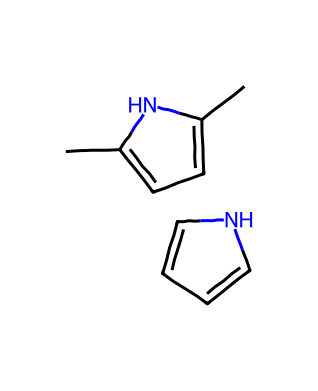 Cc1ccc(C)[nH]1.c1cc[nH]c1